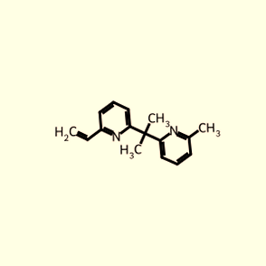 C=Cc1cccc(C(C)(C)c2cccc(C)n2)n1